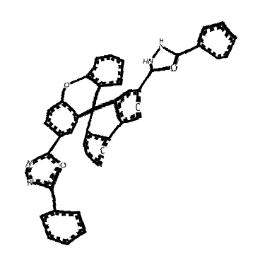 c1ccc(-c2nnc(-c3ccc4c(c3)C3(c5ccccc5O4)c4ccccc4-c4ccc(C5NNC(c6ccccc6)O5)cc43)o2)cc1